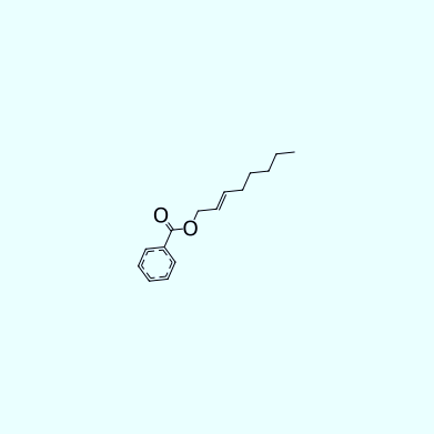 CCCCC/C=C/COC(=O)c1ccccc1